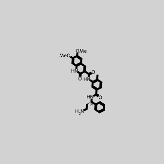 COc1cc2cc(C(=O)Nc3cc(C(=O)N[C@@H](CCN)c4ccccc4)ccc3C)c(=O)[nH]c2cc1OC